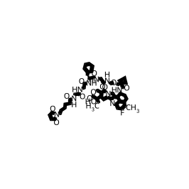 CC[C@@]1(O)C(=O)OCc2c1cc1n(c2=O)Cc2c-1nc1cc(F)c(C)c3c1c2[C@@H](NC(=O)C1(COCNC(=O)CNC(=O)[C@H](Cc2ccccc2)NC(=O)CNC(=O)CNC(=O)CCCCCN2C(=O)C=CC2=O)CCC1)CC3